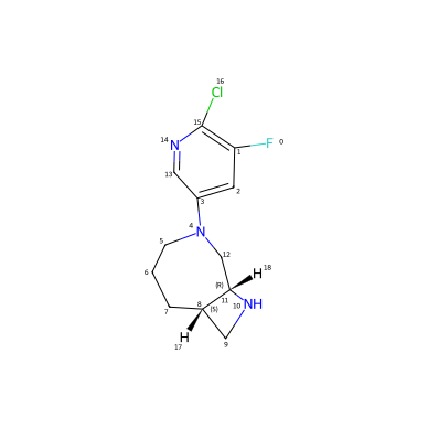 Fc1cc(N2CCC[C@H]3CN[C@H]3C2)cnc1Cl